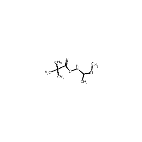 COC(C)NOC(=O)C(C)(C)C